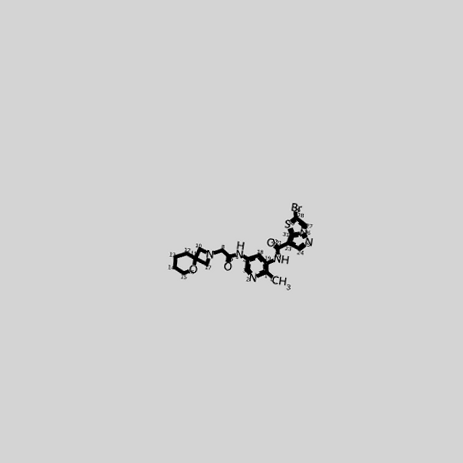 Cc1ncc(NC(=O)CN2CC3(CCCCO3)C2)cc1NC(=O)c1cnn2cc(Br)sc12